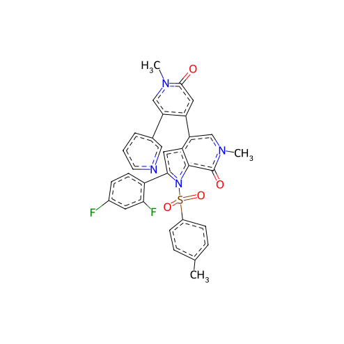 Cc1ccc(S(=O)(=O)n2c(-c3ccc(F)cc3F)cc3c(-c4cc(=O)n(C)cc4-c4cccnc4)cn(C)c(=O)c32)cc1